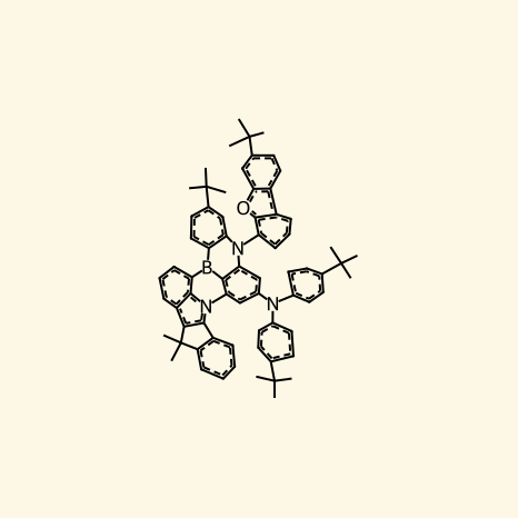 CC(C)(C)c1ccc(N(c2ccc(C(C)(C)C)cc2)c2cc3c4c(c2)-n2c5c(c6cccc(c62)B4c2ccc(C(C)(C)C)cc2N3c2cccc3c2oc2cc(C(C)(C)C)ccc23)C(C)(C)c2ccccc2-5)cc1